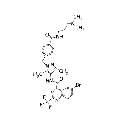 Cc1nn(Cc2ccc(C(=O)NCCCN(C)C)cc2)c(C)c1NC(=O)c1cc(C(F)(F)F)nc2ccc(Br)cc12